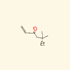 C=CC(=O)CC(C)(C)CC